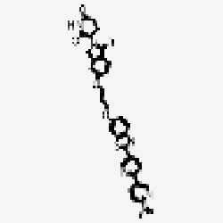 CN(C)c1ccc(-c2ccc(-c3nc4ccc(OCCCOc5ccc6c(c5)CN(C5CCC(=O)NC5=O)C6=O)cc4s3)cn2)cn1